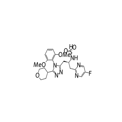 COc1cccc(OC)c1-n1c(C[C@H](Cc2ncc(F)cn2)N[SH](=O)=O)nnc1C1CCOCC1